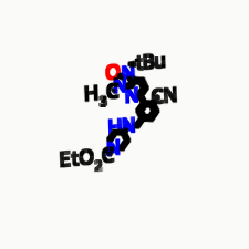 CCOC(=O)N1CCC(NCc2ccc(C#N)c(-c3ccc4c(n3)n(C)c(=O)n4CC(C)(C)C)c2)CC1